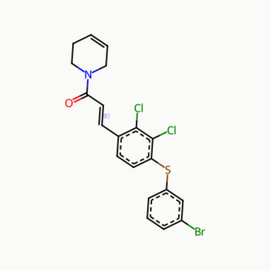 O=C(/C=C/c1ccc(Sc2cccc(Br)c2)c(Cl)c1Cl)N1CC=CCC1